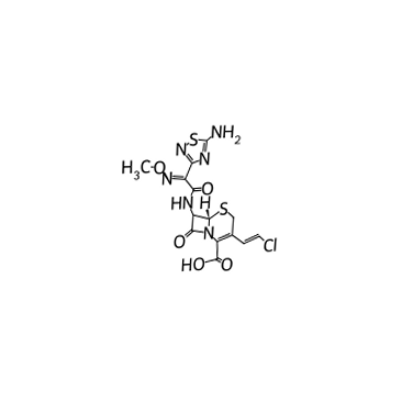 CON=C(C(=O)NC1C(=O)N2C(C(=O)O)=C(/C=C/Cl)CS[C@@H]12)c1nsc(N)n1